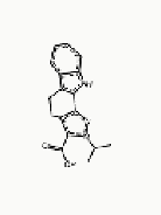 CC(C)n1nc2c(c1C(=O)O)CCc1c-2[nH]c2ccccc12